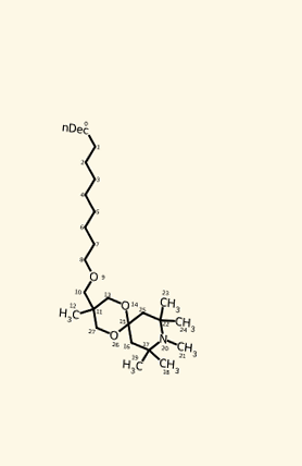 CCCCCCCCCCCCCCCCCCOCC1(C)COC2(CC(C)(C)N(C)C(C)(C)C2)OC1